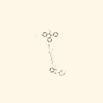 O=C(CCCCCCNc1cccc2c1CN(C1CCC(=O)NC1=O)C2=O)NCCOc1ccc(C(=C(CCCl)c2ccc(O)cc2)c2ccc(O)cc2)cc1